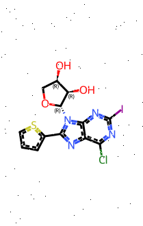 O[C@@H]1[C@H](O)CO[C@H]1n1c(-c2cccs2)nc2c(Cl)nc(I)nc21